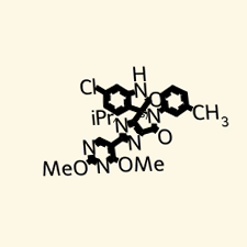 COc1ncc(-c2nc3c(n2C(C)C)[C@@]2(C(=O)Nc4cc(Cl)ccc42)N(c2cccc(C)c2)C3=O)c(OC)n1